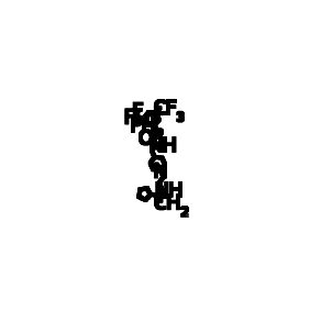 C=C(NCCN1CCC(CNC(=O)Cc2cc(C(F)(F)F)cc(C(F)(F)P)c2)CC1)C1CCCC1